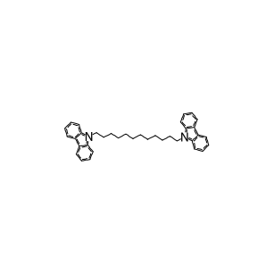 c1ccc2c(c1)c1ccccc1n2CCCCCCCCCCCCn1c2ccccc2c2ccccc21